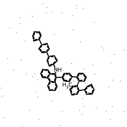 Cc1cccc(-c2ccccc2)c1-c1ccccc1-c1ccc(-c2c(Nc3ccc(-c4ccc(-c5ccccc5)cc4)cc3)c3ccccc3c3ccccc23)cc1